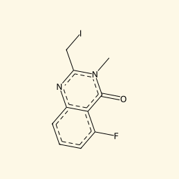 Cn1c(CI)nc2cccc(F)c2c1=O